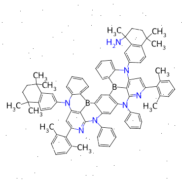 Cc1cccc(C)c1-c1cc2c3c(n1)N(c1ccccc1)c1cc4c(cc1B3c1ccccc1N2c1ccc2c(c1)C(C)(C)CCC2(C)C)B1c2ccccc2N(c2ccc3c(c2)C(C)(N)CCC3(C)C)c2cc(-c3c(C)cccc3C)nc(c21)N4c1ccccc1